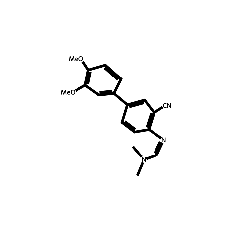 COc1ccc(-c2ccc(/N=C\N(C)C)c(C#N)c2)cc1OC